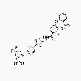 COC(=O)[C@@H]1CC(F)(F)CN1Cc1ccc(-c2ncc(CNC(=O)c3ccc4c(c3C)NC(=O)c3ccccc3O4)s2)cc1